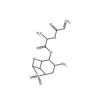 C=CC(=O)OC(C)C(=O)OC1C(C)CC2C3C1OC3S2(=O)=O